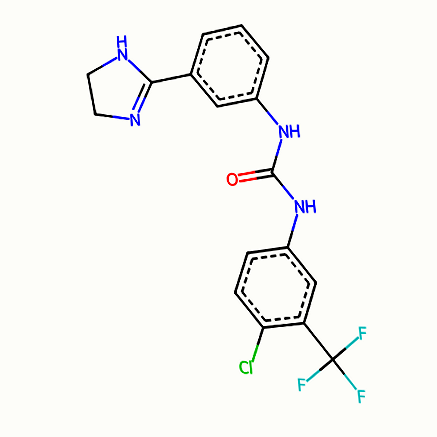 O=C(Nc1cccc(C2=NCCN2)c1)Nc1ccc(Cl)c(C(F)(F)F)c1